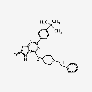 CC(C)(C)c1ccc(-c2nc(NC3CCC(NCc4ccccc4)CC3)n3[nH]c(=O)cc3n2)cc1